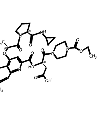 CCOC(=O)N1CCN(C(=O)[C@H](CC(=O)O)NC(=O)c2cc(O[C@H](C)C(=O)N3CCC[C@H]3C(=O)NC3CC3)c3ccc(C)cc3n2)CC1